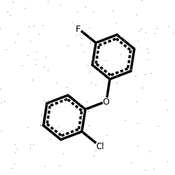 Fc1cccc(Oc2cc[c]cc2Cl)c1